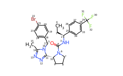 CC[C@H](NC(=O)N1CCC[C@@H]1c1nnc(C)n1Cc1ccc(Br)cc1)c1ccc(C(F)(F)F)cc1